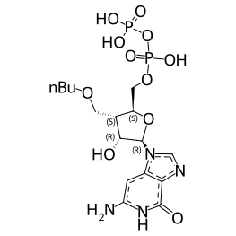 CCCCOC[C@H]1[C@@H](O)[C@H](n2cnc3c(=O)[nH]c(N)cc32)O[C@@H]1COP(=O)(O)OP(=O)(O)O